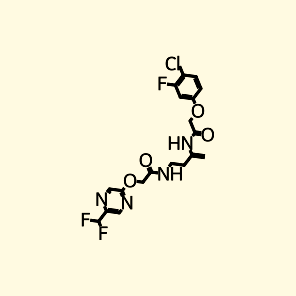 C=C(CCNC(=O)COc1cnc(C(F)F)cn1)NC(=O)COc1ccc(Cl)c(F)c1